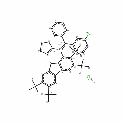 CC(C)(C)c1cc2c(cc1C(C)(C)C)-c1cc(C(C)(C)C)c(C(C)(C)C)[c](/[Zr+2]([C]3=CC=CC3)=[C](/c3ccccc3)c3cccc(Cl)c3)c1C2.[Cl-].[Cl-]